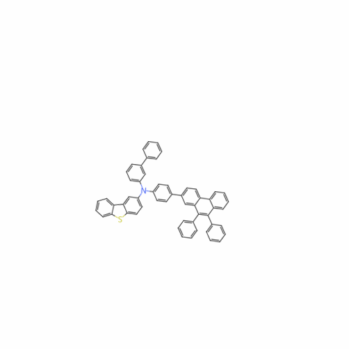 c1ccc(-c2cccc(N(c3ccc(-c4ccc5c(c4)c(-c4ccccc4)c(-c4ccccc4)c4ccccc45)cc3)c3ccc4sc5ccccc5c4c3)c2)cc1